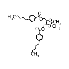 CCCCCc1ccc(C(=O)OC[C@H]2OC(C)(C)O[C@@H]2COC(=O)c2ccc(CCCCC)cc2)cc1